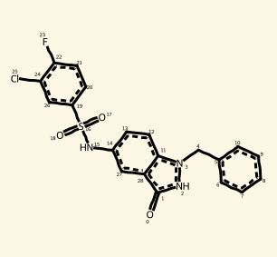 O=c1[nH]n(Cc2ccccc2)c2ccc(NS(=O)(=O)c3ccc(F)c(Cl)c3)cc12